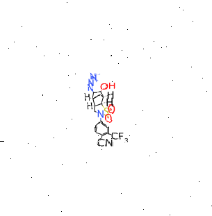 N#Cc1ccc(N2C[C@H]3[C@@H]4C[C@@H]([C@@H](O)[C@@H]4N=[N+]=[N-])[C@H]3S2(=O)=O)cc1C(F)(F)F